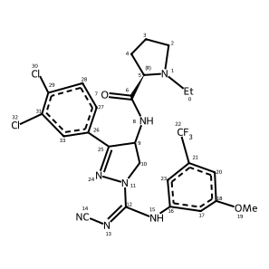 CCN1CCC[C@@H]1C(=O)NC1CN(C(=NC#N)Nc2cc(OC)cc(C(F)(F)F)c2)N=C1c1ccc(Cl)c(Cl)c1